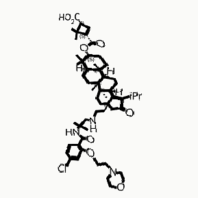 CC(C)C1=C2[C@H]3CC[C@@H]4[C@@]5(C)CC[C@H](OC(=O)[C@H]6C[C@@H](C(=O)O)C6(C)C)C(C)(C)[C@@H]5CC[C@@]4(C)[C@]3(C)CC[C@@]2(CCNCC(C)(C)NC(=O)c2ccc(Cl)cc2OCCN2CCOCC2)CC1=O